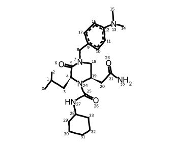 CC(C)C[C@H]1C(=O)N(Cc2ccc(N(C)C)cc2)C[C@@H](CC(N)=O)N1C(=O)NC1CCCCC1